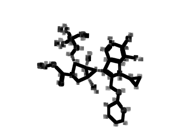 CC(C)(C)OC(=O)N1C[C@@H]2[C@@H](c3c(COC4CCCCO4)n(C4CC4)c4c(F)c(Cl)ncc34)[C@@H]2[C@H]1CO[Si](C)(C)C(C)(C)C